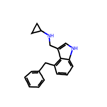 c1ccc(Cc2cccc3[nH]cc(CNC4CC4)c23)cc1